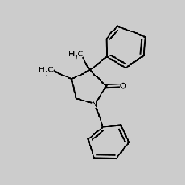 CC1CN(c2ccccc2)C(=O)C1(C)c1ccccc1